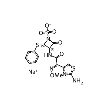 CON=C(C(=O)N[C@@H]1C(=O)N(S(=O)(=O)[O-])[C@H]1Sc1ccccc1)c1csc(N)n1.[Na+]